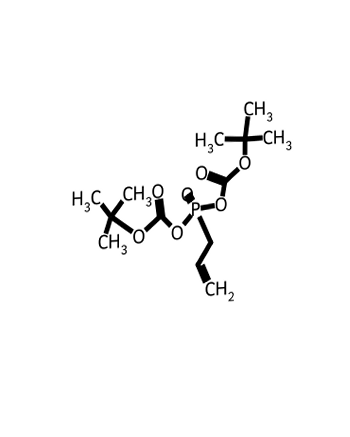 C=CCP(=O)(OC(=O)OC(C)(C)C)OC(=O)OC(C)(C)C